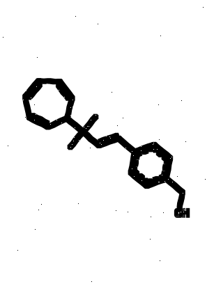 CC(C)(/C=C/c1ccc(CO)cc1)C1C=CC=CC=C1